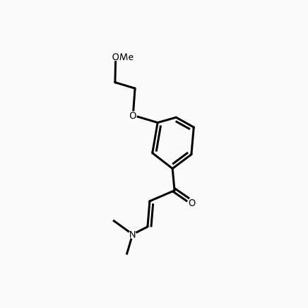 COCCOc1cccc(C(=O)C=CN(C)C)c1